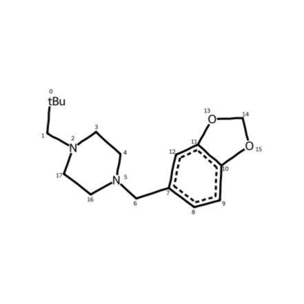 CC(C)(C)CN1CCN(Cc2ccc3c(c2)OCO3)CC1